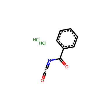 Cl.Cl.O=C=NC(=O)c1ccccc1